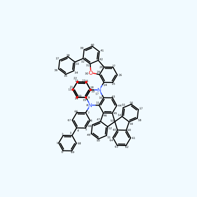 c1ccc(-c2ccc(N(c3ccccc3)c3c(N(c4ccccc4)c4cccc5c4oc4c(-c6ccccc6)cccc45)ccc4c3-c3ccccc3C43c4ccccc4-c4ccccc43)cc2)cc1